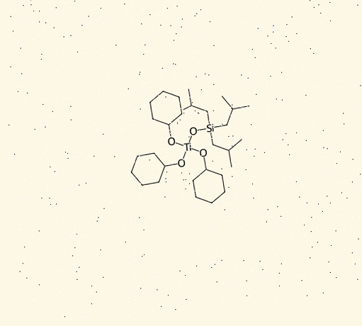 CC(C)C[Si](CC(C)C)(CC(C)C)[O][Ti]([O]C1CCCCC1)([O]C1CCCCC1)[O]C1CCCCC1